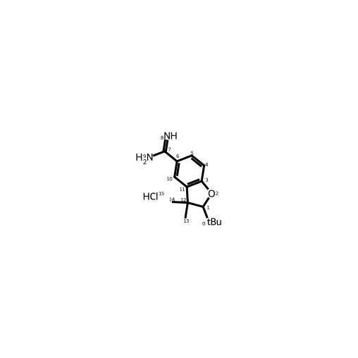 CC(C)(C)C1Oc2ccc(C(=N)N)cc2C1(C)C.Cl